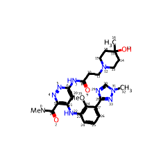 CNC(=O)c1nnc(NC(=O)CCN2CCC(C)(O)CC2)cc1Nc1cccc(-c2ncn(C)n2)c1OC